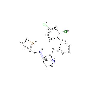 Clc1ccc(-c2ccccc2CC2C(=NCc3cccs3)C3CCN2CC3)c(Cl)c1